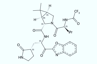 CC(C)[C@H](NC(=O)C(F)(F)F)C(=O)N1C[C@H]2[C@@H]([C@H]1C(=O)N[C@@H](C[C@@H]1CCNC1=O)C(=O)c1nc3ccccc3o1)C2(C)C